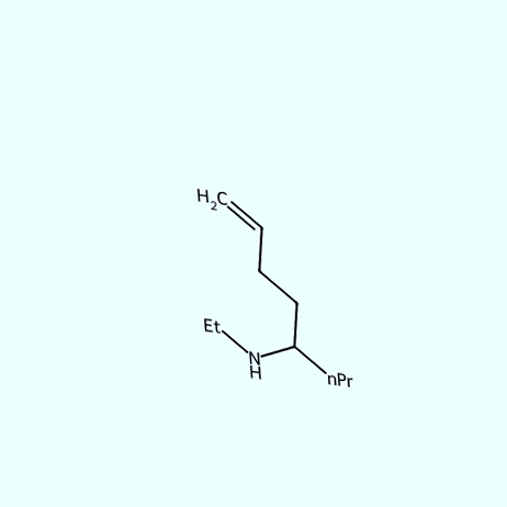 C=CCCC(CCC)NCC